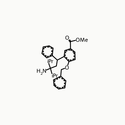 COC(=O)c1ccc(OCc2ccccc2)c(C(CC(N)(C(C)C)C(C)C)c2ccccc2)c1